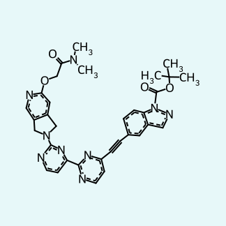 CN(C)C(=O)COc1cc2c(cn1)CN(c1nccc(-c3nccc(C#Cc4ccc5c(cnn5C(=O)OC(C)(C)C)c4)n3)n1)C2